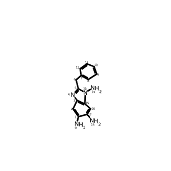 Nc1cc2nc(Cc3ccccc3)n(N)c2cc1N